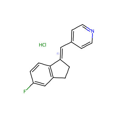 Cl.Fc1ccc2c(c1)CC/C2=C\c1ccncc1